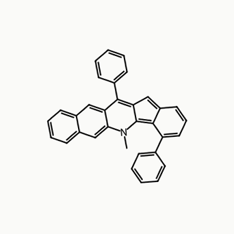 Cn1c2c3c(-c4ccccc4)cccc3cc-2c(-c2ccccc2)c2cc3ccccc3cc21